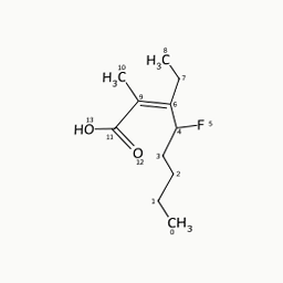 CCCCC(F)C(CC)=C(C)C(=O)O